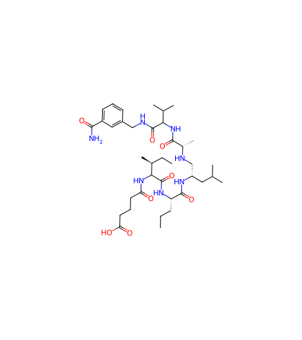 CCC[C@H](NC(=O)C(NC(=O)CCCC(=O)O)[C@@H](C)CC)C(=O)N[C@H](CN[C@@H](C)C(=O)NC(C(=O)NCc1cccc(C(N)=O)c1)C(C)C)CC(C)C